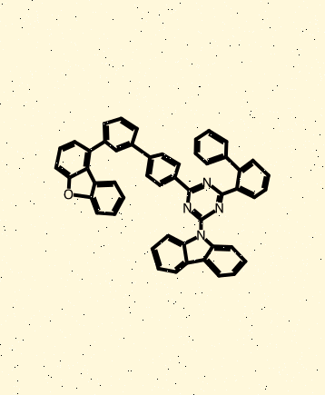 c1ccc(-c2ccccc2-c2nc(-c3ccc(-c4cccc(-c5cccc6oc7ccccc7c56)c4)cc3)nc(-n3c4ccccc4c4ccccc43)n2)cc1